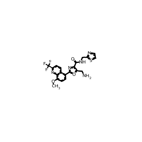 COc1ccc(-c2nc(C(=O)NCc3nccs3)c(CN)o2)c2ccc(C(F)(F)F)nc12